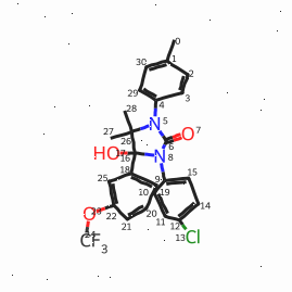 Cc1ccc(N2C(=O)N(c3ccc(Cl)cc3)C(O)(c3cccc(OC(F)(F)F)c3)C2(C)C)cc1